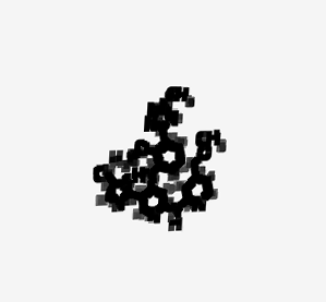 COCc1ccnc(Nc2cc(Nc3cccc(-c4nnn(C)n4)c3OC)c(-c3ncc(Cl)s3)cn2)c1